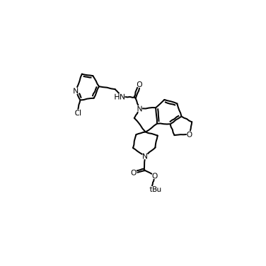 CC(C)(C)OC(=O)N1CCC2(CC1)CN(C(=O)NCc1ccnc(Cl)c1)c1ccc3c(c12)COC3